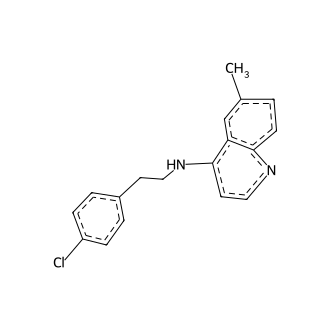 Cc1ccc2nccc(NCCc3ccc(Cl)cc3)c2c1